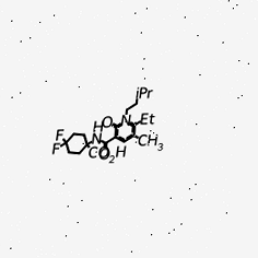 CCc1c(C)cc(C(=O)NC2(C(=O)O)CCC(F)(F)CC2)c(=O)n1CCC(C)C